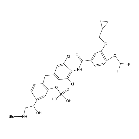 CC(C)(C)NCC(O)c1ccc(Cc2cc(Cl)c(NC(=O)c3ccc(OC(F)F)c(OCC4CC4)c3)c(Cl)c2)c(OP(=O)(O)O)c1